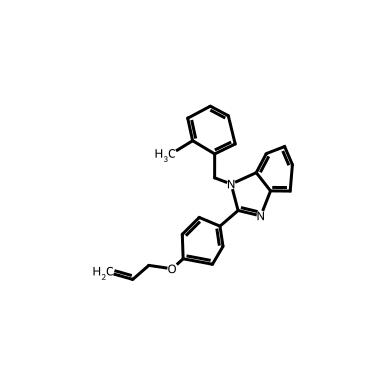 C=CCOc1ccc(-c2nc3ccccc3n2Cc2ccccc2C)cc1